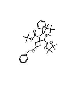 CC(C)(C)OC(=O)N(Cc1ccccc1)C1(C(B2OC(C)(C)C(C)(C)O2)B2OC(C)(C)C(C)(C)O2)CC(OCc2ccccc2)C1